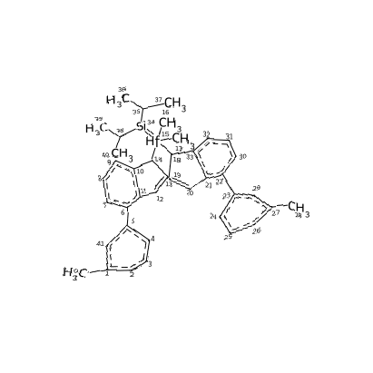 Cc1cccc(-c2cccc3c2C=C[CH]3[Hf]([CH3])([CH3])([CH]2C=Cc3c(-c4cccc(C)c4)cccc32)=[Si](C(C)C)C(C)C)c1